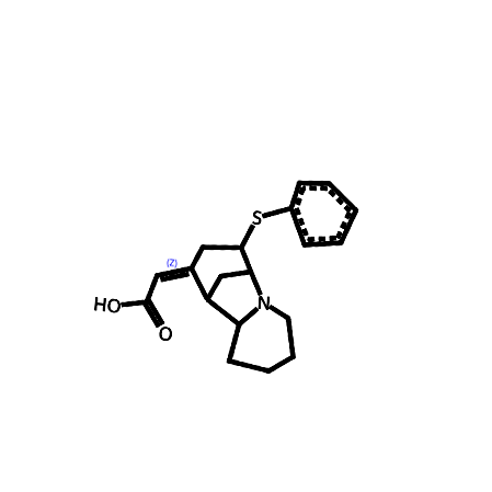 O=C(O)/C=C1/CC(Sc2ccccc2)C2CC1C1CCCCN21